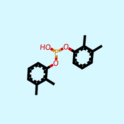 Cc1cccc(OP(O)Oc2cccc(C)c2C)c1C